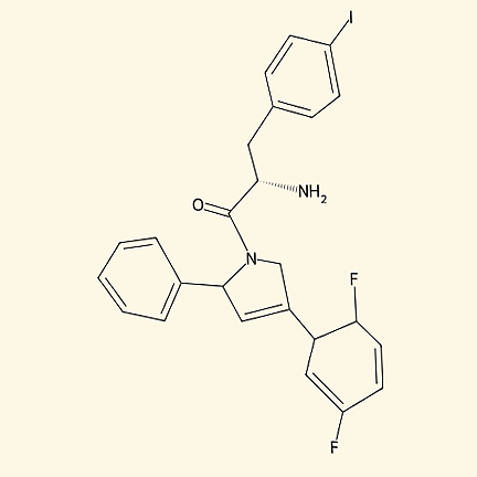 N[C@@H](Cc1ccc(I)cc1)C(=O)N1CC(C2C=C(F)C=CC2F)=CC1c1ccccc1